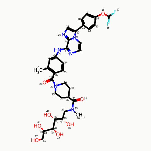 Cc1cc(Nc2nccn3c(-c4ccc(OC(F)F)cc4)cnc23)ccc1C(=O)N1CCC(C(=O)N(C)C[C@H](O)[C@@H](O)[C@@H](O)[C@H](O)CO)CC1